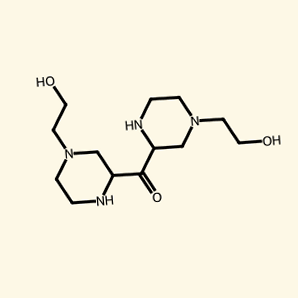 O=C(C1CN(CCO)CCN1)C1CN(CCO)CCN1